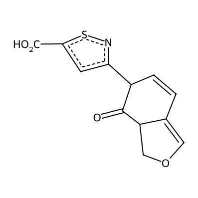 O=C(O)c1cc(C2C=CC3=COCC3C2=O)ns1